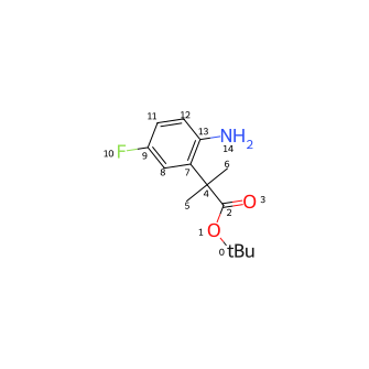 CC(C)(C)OC(=O)C(C)(C)c1cc(F)ccc1N